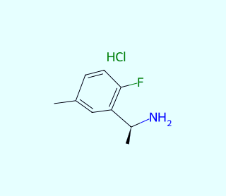 Cc1ccc(F)c([C@H](C)N)c1.Cl